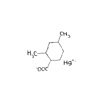 CC1CCC(C(=O)[O-])C(C)C1.[Hg+]